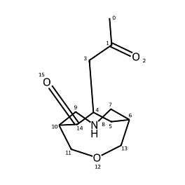 CC(=O)CC1CC2CNCC(COC2)C1=O